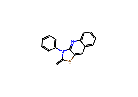 C=C1Sc2cc3ccccc3nc2N1c1ccccc1